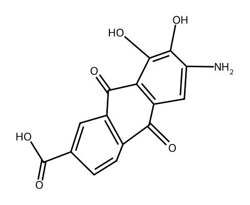 Nc1cc2c(c(O)c1O)C(=O)c1cc(C(=O)O)ccc1C2=O